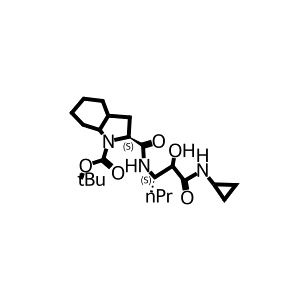 CCC[C@H](NC(=O)[C@@H]1CC2CCCCC2N1C(=O)OC(C)(C)C)C(O)C(=O)NC1CC1